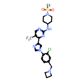 CCS(=O)(=O)N1CCC(Nc2ncc(C(F)(F)F)c(-c3cn(-c4ccc(CN5CCC5)cc4Cl)cn3)n2)CC1